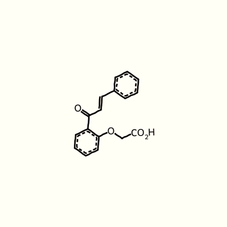 O=C(O)COc1ccccc1C(=O)/C=C/c1ccccc1